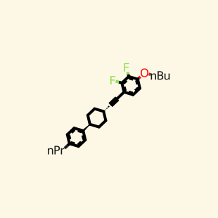 CCCCOc1ccc(C#C[C@H]2CC[C@H](c3ccc(CCC)cc3)CC2)c(F)c1F